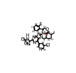 CC1CCC(Cn2c(N3CCOC[C@H]3c3ccccc3F)nc3nc(-c4noc(=O)[nH]4)nc(-c4cncc(Cl)c4)c32)CC1